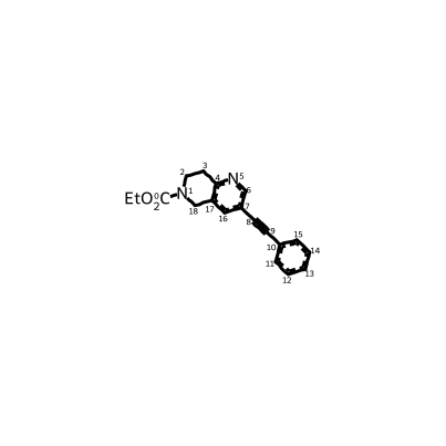 CCOC(=O)N1CCc2ncc(C#Cc3ccccc3)cc2C1